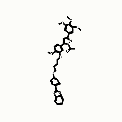 COc1ccc(-c2cc(-c3cc(OC)c(OC)c(OC)c3)nn2C(C)=O)cc1OCCCCOc1ccc(-c2nc3ccccc3s2)cc1